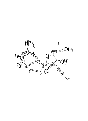 CC#C[C@@]1(Cl)C(O)[C@@H]([C@H](C)O)O[C@H]1n1ccc2c(=O)[nH]c(N)nc21